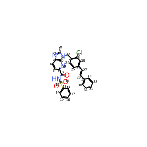 Cc1nc2ccc(C(=O)NS(=O)(=O)c3ccccc3)nc2n1Cc1ccc(C=Cc2ccccc2)cc1Cl